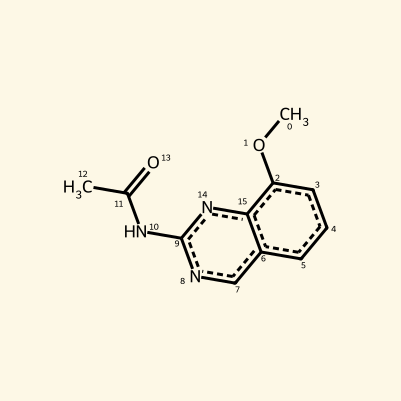 COc1cccc2cnc(NC(C)=O)nc12